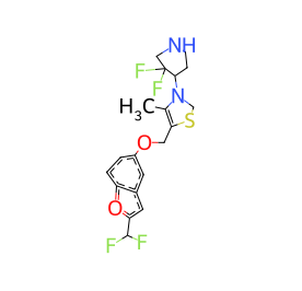 CC1=C(COc2ccc3oc(C(F)F)cc3c2)SCN1C1CCNCC1(F)F